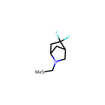 CSCN1CC2CC1CC2(F)F